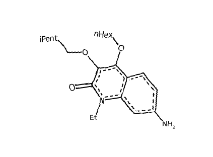 CCCCCCOc1c(OCC(C)CCC)c(=O)n(CC)c2cc(N)ccc12